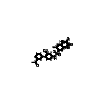 CC(=O)c1cccc(-c2ccc(NS(=O)(=O)c3cc4[nH]c(=O)c(=O)[nH]c4cc3C)cc2Cl)c1